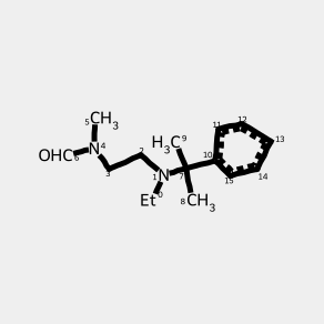 CCN(CCN(C)C=O)C(C)(C)c1ccccc1